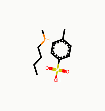 CCCCPC.Cc1ccc(S(=O)(=O)O)cc1